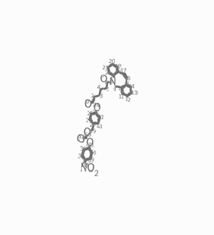 O=C(CCCCC(=O)N1Cc2ccccc2C#Cc2ccccc21)Oc1ccc(COC(=O)Oc2ccc([N+](=O)[O-])cc2)cc1